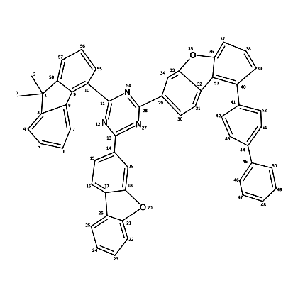 CC1(C)c2ccccc2-c2c(-c3nc(-c4ccc5c(c4)oc4ccccc45)nc(-c4ccc5c(c4)oc4cccc(-c6ccc(-c7ccccc7)cc6)c45)n3)cccc21